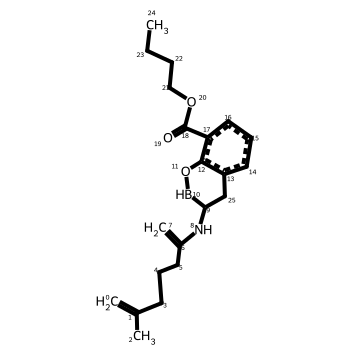 C=C(C)CCCC(=C)NC1BOc2c(cccc2C(=O)OCCCC)C1